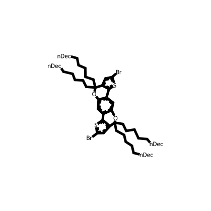 CCCCCCCCCCCCCCCC1(CCCCCCCCCCCCCCC)Oc2cc3c(cc2-c2sc(Br)cc21)OC(CCCCCCCCCCCCCCC)(CCCCCCCCCCCCCCC)c1cc(Br)sc1-3